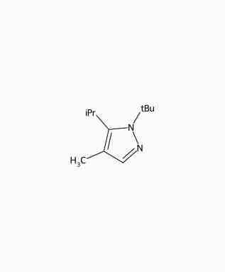 Cc1cnn(C(C)(C)C)c1C(C)C